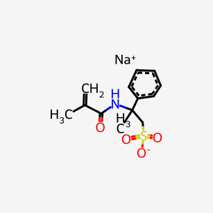 C=C(C)C(=O)NC(C)(CS(=O)(=O)[O-])c1ccccc1.[Na+]